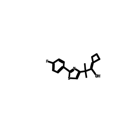 CC(C)(C(O)=C1CCC1)c1csc(-c2ccc(F)cc2)n1